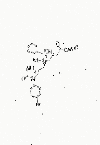 CC[N+](CCCC(=O)OC)(CCCN(C(N)=O)c1ccc(Br)cc1)[C@@H](C)c1ccccc1.[I-]